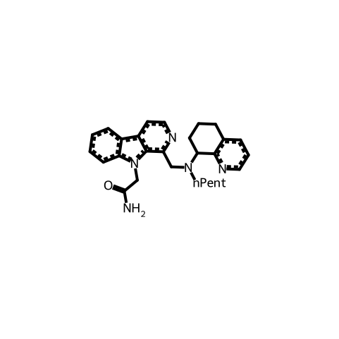 CCCCCN(Cc1nccc2c3ccccc3n(CC(N)=O)c12)C1CCCc2cccnc21